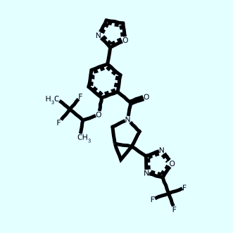 CC(Oc1ccc(-c2ncco2)cc1C(=O)N1CC2CC2(c2noc(C(F)(F)F)n2)C1)C(C)(F)F